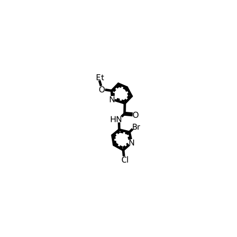 CCOc1cccc(C(=O)Nc2ccc(Cl)nc2Br)n1